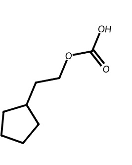 O=C(O)OCCC1CCCC1